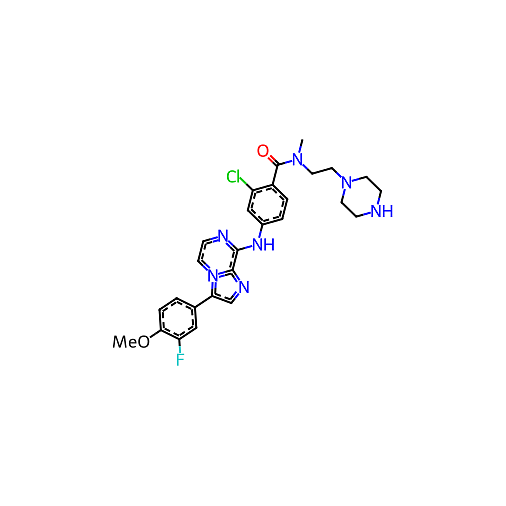 COc1ccc(-c2cnc3c(Nc4ccc(C(=O)N(C)CCN5CCNCC5)c(Cl)c4)nccn23)cc1F